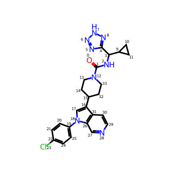 O=C(NC(c1nn[nH]n1)C1CC1)N1CCC(c2cn(-c3ccc(Cl)cc3)c3cnccc23)CC1